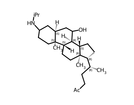 CC(=O)CC[C@@H](C)[C@H]1CC[C@H]2[C@@H]3C(O)C[C@@H]4CC(NC(C)C)CC[C@]4(C)[C@H]3CC[C@]12C